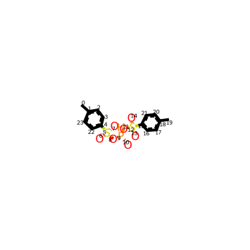 Cc1ccc(S(=O)(=O)O[PH](=O)OS(=O)(=O)c2ccc(C)cc2)cc1